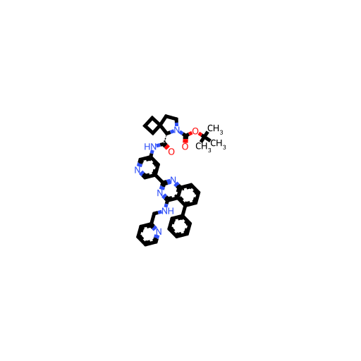 CC(C)(C)OC(=O)N1CCC2(CCC2)[C@H]1C(=O)Nc1cncc(-c2nc(NCc3ccccn3)c3c(-c4ccccc4)cccc3n2)c1